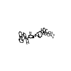 CN1CCC[C@@H]1C(=O)Nc1ccc(N2CCN(C(=O)OC(C)(C)C)CC2)c(F)c1